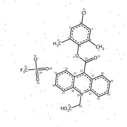 Cc1cc(Cl)cc(C)c1OC(=O)c1c2ccccc2[n+](CC(=O)O)c2ccccc12.O=S(=O)([O-])C(F)(F)F